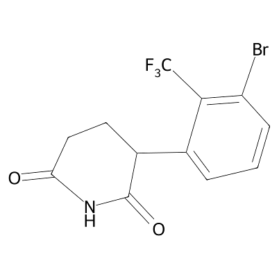 O=C1CCC(c2cccc(Br)c2C(F)(F)F)C(=O)N1